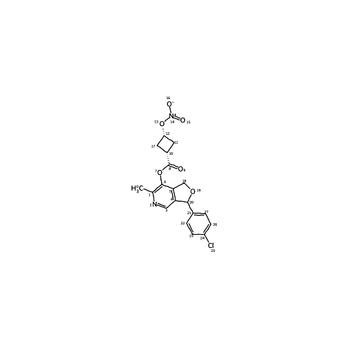 Cc1ncc2c(c1OC(=O)[C@H]1C[C@@H](O[N+](=O)[O-])C1)COC2c1ccc(Cl)cc1